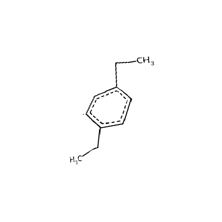 CCc1[c]cc(CC)cc1